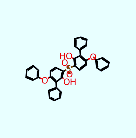 O=S(=O)(c1ccc(Oc2ccccc2)c(-c2ccccc2)c1O)c1ccc(Oc2ccccc2)c(-c2ccccc2)c1O